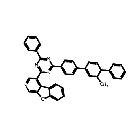 CC1C=C(c2ccc(-c3nc(-c4ccccc4)nc(-c4cncc5oc6ccccc6c45)n3)cc2)C=CC1c1ccccc1